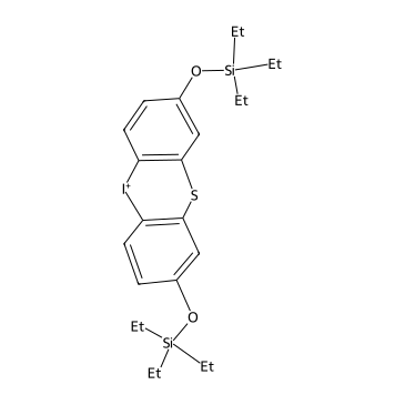 CC[Si](CC)(CC)Oc1ccc2c(c1)Sc1cc(O[Si](CC)(CC)CC)ccc1[I+]2